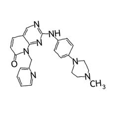 CN1CCN(c2ccc(Nc3ncc4ccc(=O)n(Cc5ccccn5)c4n3)cc2)CC1